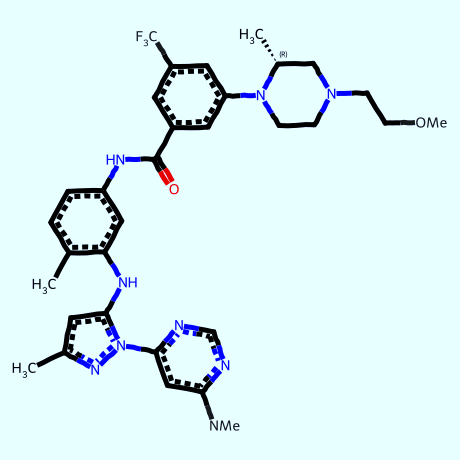 CNc1cc(-n2nc(C)cc2Nc2cc(NC(=O)c3cc(N4CCN(CCOC)C[C@H]4C)cc(C(F)(F)F)c3)ccc2C)ncn1